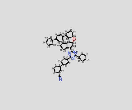 N#Cc1cccc(-c2ccc(-c3nc(-c4ccccc4)nc(-c4cc5oc6cccc(-c7ccc(-c8ccccc8)cc7)c6c5c5ccccc45)n3)cc2)c1